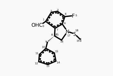 O=Cc1ccc(F)c2c1[C@@H](Cc1ccccc1)CN2SI